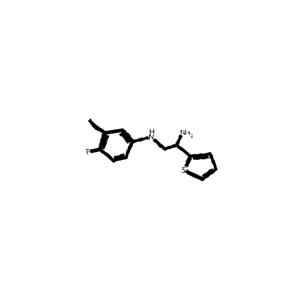 Cc1cc(NCC(N)c2cccs2)ccc1F